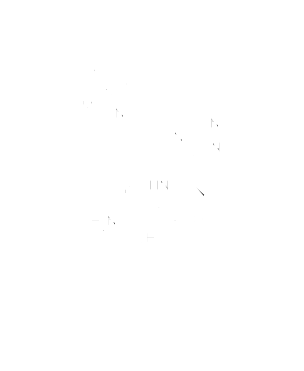 CC(C)(N)C(=O)N[C@H](COCc1ccccc1)c1nnc2ccc(NS(C)(=O)=O)cn12